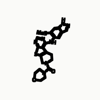 CSc1cc2[nH]ncc2cc1Nc1ncnc2sc3c(c12)CCN(C(=O)N1CCOCC1)C3